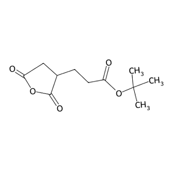 CC(C)(C)OC(=O)CCC1CC(=O)OC1=O